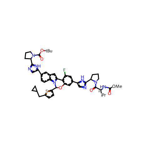 COC(=O)N[C@H](C(=O)N1CCCC1c1ncc(-c2cc(F)c3c(c2)OC(c2ccc(CC4CC4)s2)n2c-3cc3cc(-c4cnc(C5CCCN5C(=O)OC(C)(C)C)[nH]4)ccc32)[nH]1)C(C)C